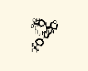 C[C@]1(C(=O)O)CCCN(c2c3c(nc4cc([C@H]5CC[C@H](C(F)(F)F)CC5)nn24)CCOC3)C1